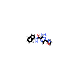 Cc1nc(C(=O)N[C@H]2CCc3ccccc32)c(N)nc1-c1ncco1